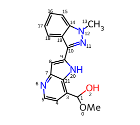 COC(O)c1ccnc2cc(-c3nn(C)c4ccccc34)[nH]c12